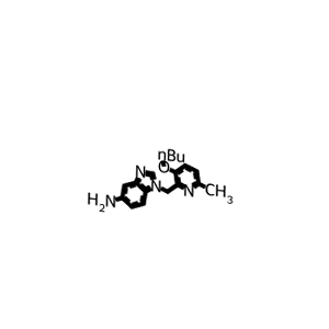 CCCCOc1ccc(C)nc1Cn1cnc2cc(N)ccc21